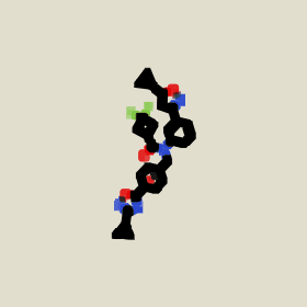 O=C(C1CC(F)(F)C1)N(CC12CCC(c3nc(C4CC4)no3)(CC1)OC2)c1cccc(-c2cc(C3CC3)on2)c1